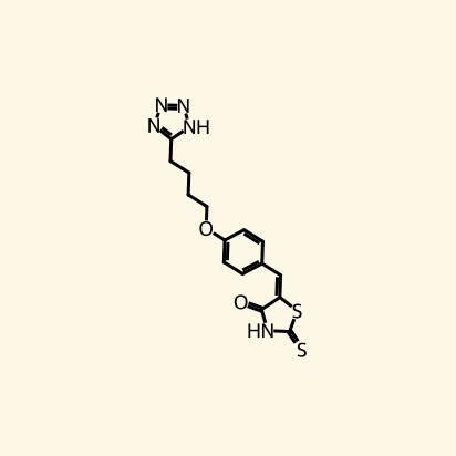 O=C1NC(=S)SC1=Cc1ccc(OCCCCc2nnn[nH]2)cc1